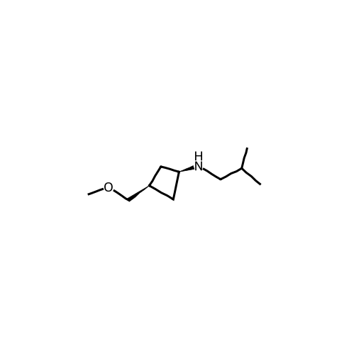 COC[C@H]1C[C@@H](NCC(C)C)C1